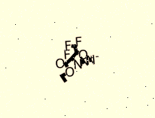 CCOC(=O)C(F)(N=[N+]=[N-])C(=O)C(F)F